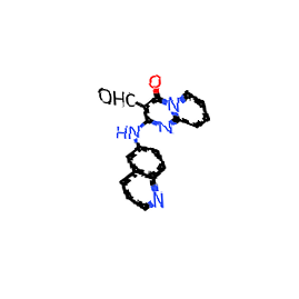 O=Cc1c(Nc2ccc3ncccc3c2)nc2ccccn2c1=O